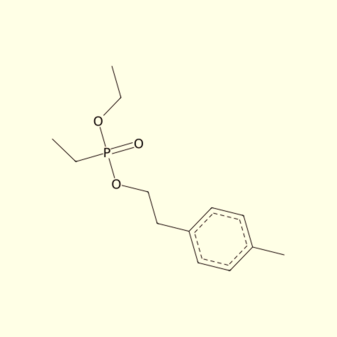 CCOP(=O)(CC)OCCc1ccc(C)cc1